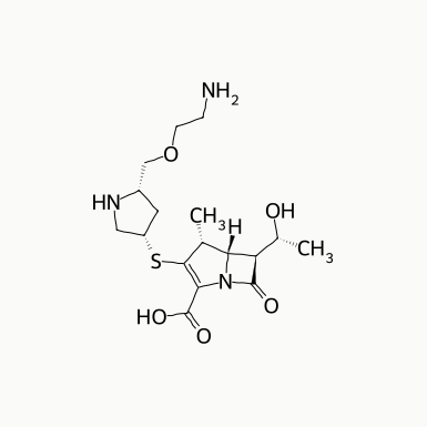 C[C@@H](O)[C@H]1C(=O)N2C(C(=O)O)=C(S[C@@H]3CN[C@H](COCCN)C3)[C@H](C)[C@H]12